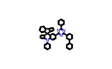 c1ccc(-c2cccc(-c3nc(-c4ccccc4)nc(-c4ccc5c(c4)C4(c6ccccc6-c6ccccc64)c4ccccc4N5c4ccccc4)n3)c2)cc1